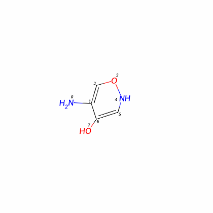 NC1=CONC=C1O